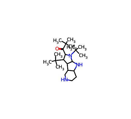 CC(C)(C)C(=O)C1C(C(C)(C)C)C2C3CNCCC3NC2N1C(C)(C)C